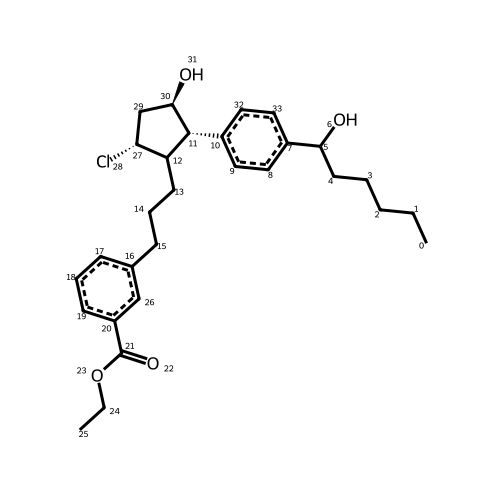 CCCCCC(O)c1ccc([C@@H]2C(CCCc3cccc(C(=O)OCC)c3)[C@H](Cl)C[C@H]2O)cc1